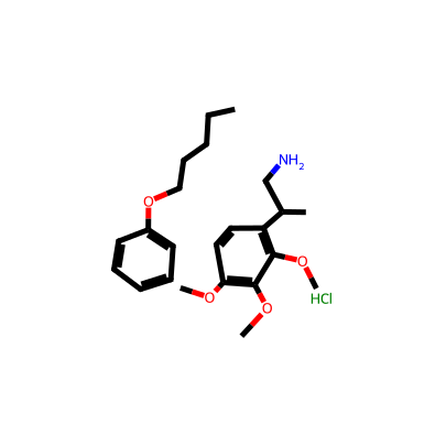 CCCCCOc1ccccc1.COc1ccc(C(C)CN)c(OC)c1OC.Cl